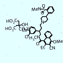 CCc1c(C#N)c(OC)c2ccccc2c1C(=O)N(C)CC(CCN1CCC(c2ccccc2S(=O)(=O)NC)CC1)c1ccc(Cl)c(Cl)c1.O=C(O)CC(O)(CC(=O)O)C(=O)O